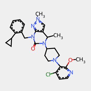 COc1nccc(Cl)c1N1CCC(N2C(=O)N(Cc3ccccc3C3CC3)c3nn(C)cc3C2C)CC1